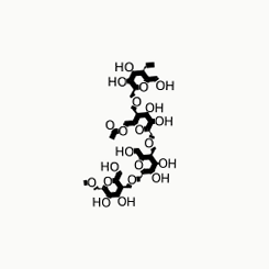 CC[C@@H]1C(CO)O[C@@H](COC[C@@H]2C(COC(C)=O)O[C@@H](COC[C@@H]3C(CO)O[C@@H](COC[C@@H]4C(CO)O[C@@H](COC)C(O)[C@@H]4O)C(O)[C@@H]3O)C(O)[C@@H]2O)C(O)[C@@H]1O